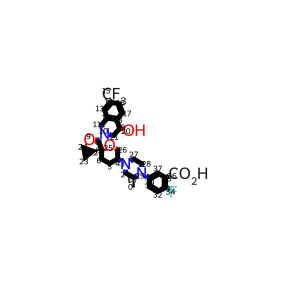 C[C@H]1CN(C2CC[C@@](C(=O)N3Cc4cc(C(F)(F)F)ccc4C(O)C3)(C3CC3)OC2)CCN1c1ccc(F)c(C(=O)O)c1